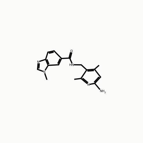 Cc1cc(N)nc(C)c1CNC(=O)c1ccc2ncn(C)c2c1